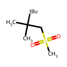 CC(C)(C)C(C)(C)CS(C)(=O)=O